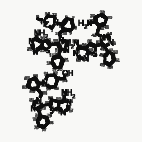 CN1CCN(c2ccccc2Cn2cnc(-c3ccccc3)c2-c2cc3c(N)ncnc3s2)CC1.Nc1ccccc1Cn1cnc(-c2ccccc2)c1-c1cc2c(N)ncnc2s1.Nc1ncnc2sc(-c3c(-c4ccccc4)ncn3Cc3ccccc3N3CCC(CO)CC3)cc12